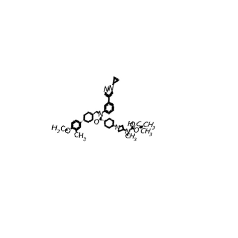 COc1ccc([C@H]2CC[C@H](CN(c3cccc(-c4cnn(C5CC5)c4)c3)C(=O)[C@H]3CC[C@H](N4CC(N(C)C(=O)OC(C)(C)C)C4)CC3)CC2)cc1C